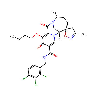 CCCCOc1c2n(cc(C(=O)NCc3ccc(F)c(Cl)c3F)c1=O)[C@@H]1CN(C2=O)[C@@H](C)CC[C@]12CC(C)=NO2